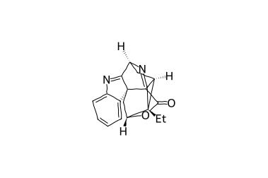 CC[C@@]12C=N[C@H]3C[C@@H]1C1C(=O)O[C@@H]2C[C@@]12C3=Nc1ccccc12